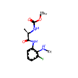 CCNc1c(F)cccc1NC(=O)[C@@H](C)NC(=O)OC(C)(C)C